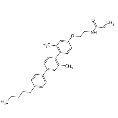 C=CC(=O)NCCOc1ccc(-c2ccc(-c3ccc(CCCCC)cc3)cc2C)c(C)c1